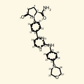 NC(=O)[C@@H]1CCC(=O)N1c1ccc(-c2ccnc(Nc3ccc(N4CCOCC4)cc3)n2)cc1